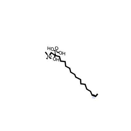 C/C=C\CCCCCCCCCCCCCC(O)(C[N+](C)(C)C)P(=O)(O)O